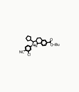 CC[C@@H](C)OC(=O)c1ccc2c(c1)CCC1C2=NN(c2ccc(C#N)c(Cl)c2)C1C1CCCC1